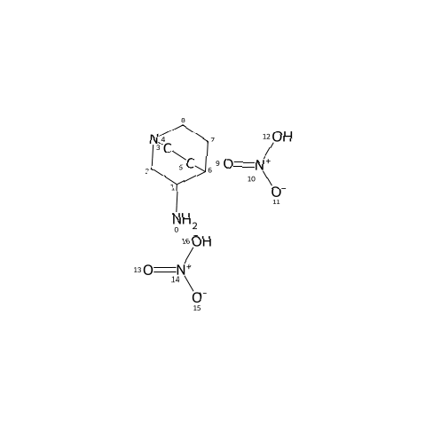 NC1CN2CCC1CC2.O=[N+]([O-])O.O=[N+]([O-])O